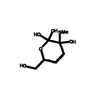 CNC1(O)CCC(CO)OC1(O)O